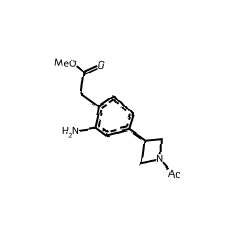 COC(=O)Cc1ccc(C2CN(C(C)=O)C2)cc1N